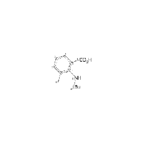 Cc1cccc(C(=O)O)c1NC(C)(C)C